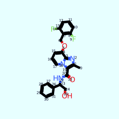 Cc1nc2c(OCc3c(F)cccc3F)cccn2c1C(=O)NC(CO)c1ccccc1